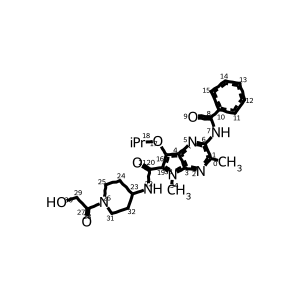 Cc1nc2c(nc1NC(=O)c1ccccc1)c(OC(C)C)c(C(=O)NC1CCN(C(=O)CO)CC1)n2C